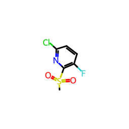 CS(=O)(=O)c1nc(Cl)ccc1F